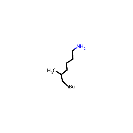 CCC(C)CC(C)CCCCN